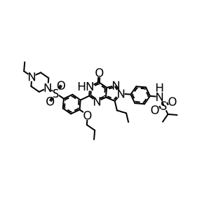 CCCOc1ccc(S(=O)(=O)N2CCN(CC)CC2)cc1-c1nc2c(CCC)n(-c3ccc(NS(=O)(=O)C(C)C)cc3)nc2c(=O)[nH]1